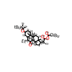 CC[C@H]1C(=O)[C@H]2[C@@H]3CCC([C@H](C)C(=O)OC(=O)OCC(C)C)C3(C)CC[C@@H]2C2(C)CCC(O[Si](C)(C)C(C)(C)C)CC12